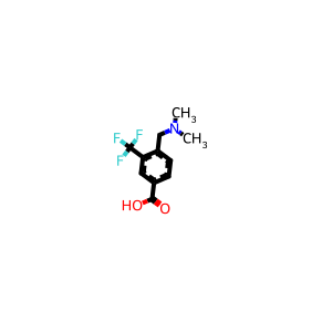 CN(C)Cc1ccc(C(=O)O)cc1C(F)(F)F